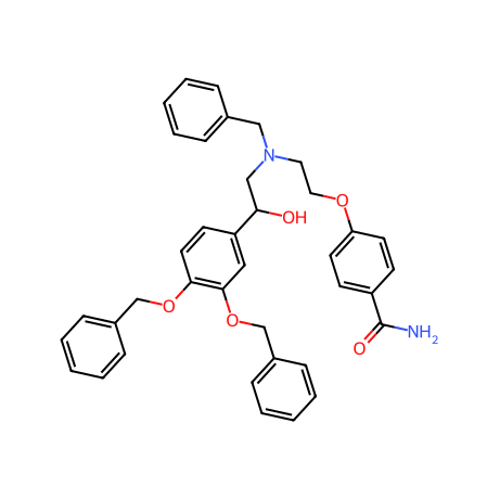 NC(=O)c1ccc(OCCN(Cc2ccccc2)CC(O)c2ccc(OCc3ccccc3)c(OCc3ccccc3)c2)cc1